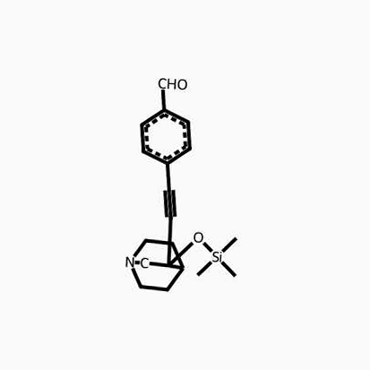 C[Si](C)(C)OC1(C#Cc2ccc(C=O)cc2)CN2CCC1CC2